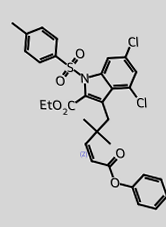 CCOC(=O)c1c(CC(C)(C)/C=C\C(=O)Oc2ccccc2)c2c(Cl)cc(Cl)cc2n1S(=O)(=O)c1ccc(C)cc1